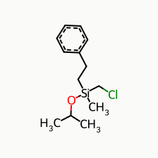 CC(C)O[Si](C)(CCl)CCc1ccccc1